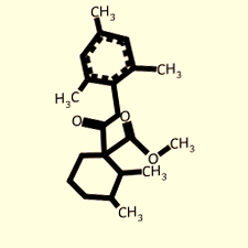 COC(=O)C1(C(=O)Cc2c(C)cc(C)cc2C)CCCC(C)C1C